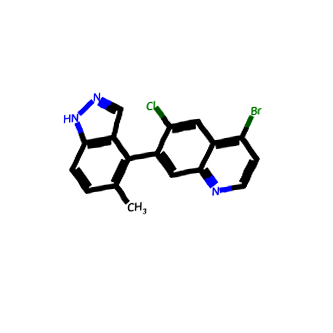 Cc1ccc2[nH]ncc2c1-c1cc2nccc(Br)c2cc1Cl